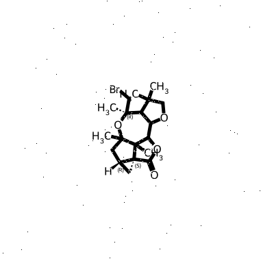 CC1(C)COC2C3OC(=O)[C@@]45C[C@@H]4CC(C)(O[C@@](C)(CBr)C21)C35C